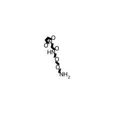 NCCOCCOCCNC(=O)CCN1C(=O)C=CC1=O